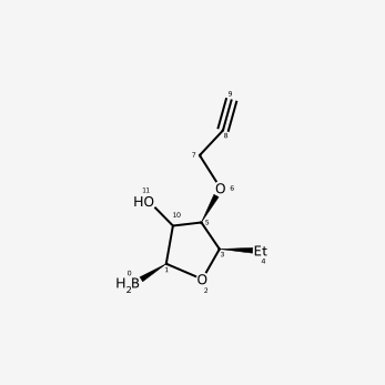 B[C@@H]1O[C@H](CC)[C@H](OCC#C)C1O